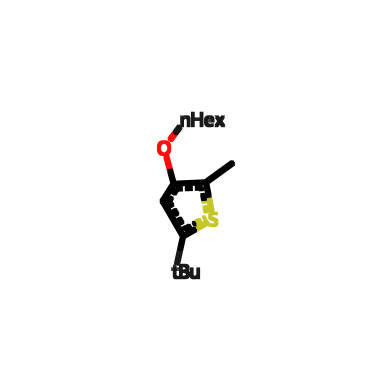 CCCCCCOc1cc(C(C)(C)C)sc1C